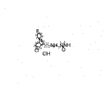 Cl.O=C1NCCN1CCCNCCCc1cn(-c2ccc(F)cc2)c2ccc(Cl)cc12